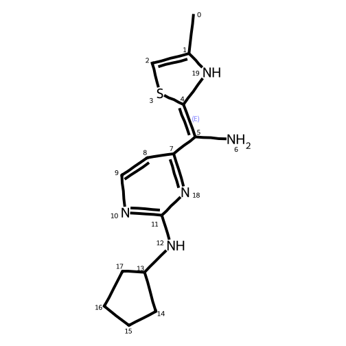 CC1=CS/C(=C(/N)c2ccnc(NC3CCCC3)n2)N1